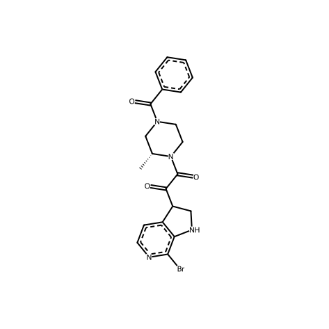 C[C@@H]1CN(C(=O)c2ccccc2)CCN1C(=O)C(=O)C1CNc2c1ccnc2Br